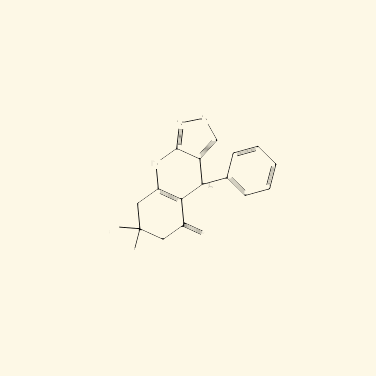 CC1(C)CC(=O)C2=C(C1)Nc1n[nH]cc1[C@@]2(C)c1ccccc1